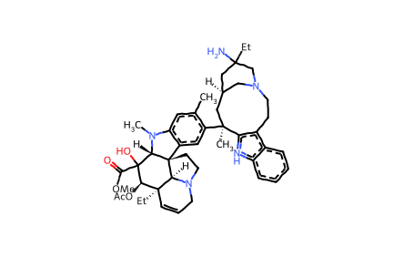 CCC1(N)C[C@H]2CN(CCc3c([nH]c4ccccc34)[C@@](C)(c3cc4c(cc3C)N(C)[C@H]3C(O)(C(=O)OC)[C@H](OC(C)=O)[C@]5(CC)C=CCN6CC[C@]43[C@@H]65)C2)C1